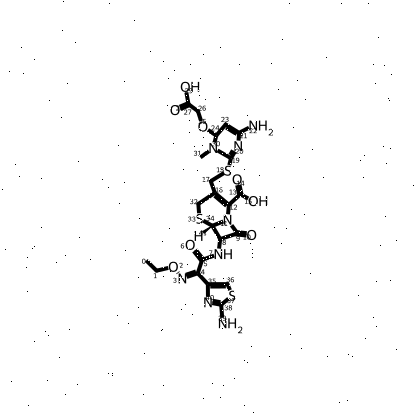 CCO/N=C(\C(=O)NC1C(=O)N2C(C(=O)O)=C(CSC3=NC(N)=CC(OCC(=O)O)N3C)CS[C@@H]12)c1csc(N)n1